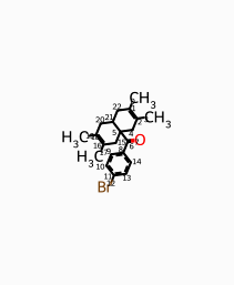 CC1=C(C)CC2(C(=O)c3ccc(Br)cc3)CC(C)=C(C)CC2C1